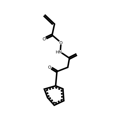 C=CC(=O)ONC(=C)CC(=O)c1ccccc1